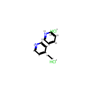 CC.Cl.Cl.c1ccncc1.c1ccncc1